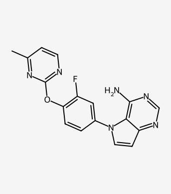 Cc1ccnc(Oc2ccc(-n3ccc4ncnc(N)c43)cc2F)n1